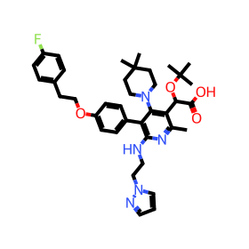 Cc1nc(NCCn2cccn2)c(-c2ccc(OCCc3ccc(F)cc3)cc2)c(N2CCC(C)(C)CC2)c1C(OC(C)(C)C)C(=O)O